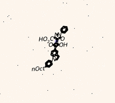 CCCCCCCCc1ccc(N2CCc3cc(C4=C(O)/C(=C5\C(=O)N(c6ccccc6)N=C5C(=O)O)C4=O)ccc32)cc1